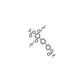 C=C(C)C(=O)Oc1ccc(-c2ccc(-c3cc(OC/C=C/C)c(OC(=O)C(=C)C)cc3OC/C=C/C)cc2)cc1